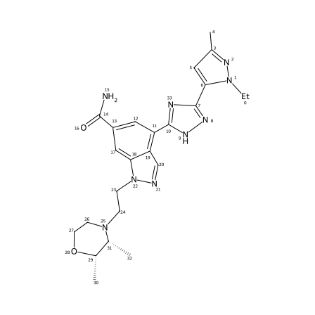 CCn1nc(C)cc1-c1n[nH]c(-c2cc(C(N)=O)cc3c2cnn3CCN2CCO[C@@H](C)[C@H]2C)n1